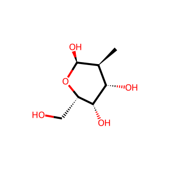 C[C@H]1[C@H](O)[C@H](O)[C@H](CO)O[C@H]1O